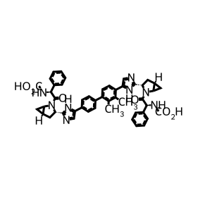 Cc1c(-c2ccc(-c3cnc([C@@H]4C[C@@H]5CC5N4C(=O)[C@@H](NC(=O)O)c4ccccc4)[nH]3)cc2)ccc(-c2cnc([C@@H]3C[C@@H]4CC4N3C(=O)[C@@H](NC(=O)O)c3ccccc3)[nH]2)c1C